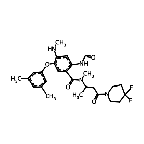 CNc1cc(NC=O)c(C(=O)N(C)C(C)CC(=O)N2CCC(F)(F)CC2)cc1Oc1cc(C)cc(C)c1